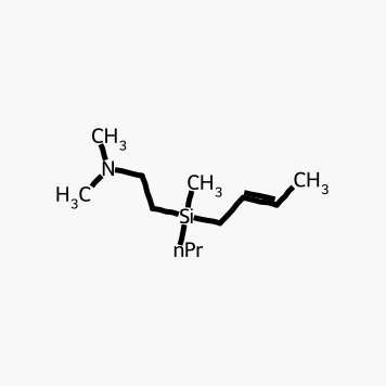 CC=CC[Si](C)(CCC)CCN(C)C